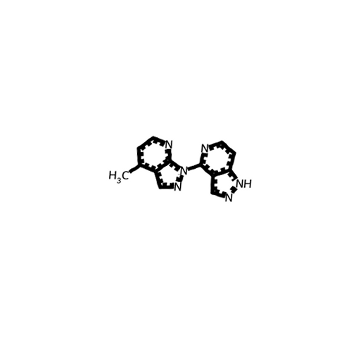 Cc1ccnc2c1cnn2-c1nccc2[nH]ncc12